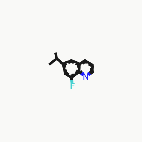 CC(C)c1cc(F)c2ncccc2c1